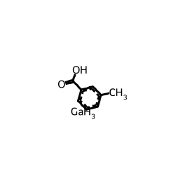 Cc1cccc(C(=O)O)c1.[GaH3]